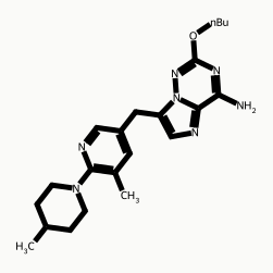 CCCCOc1nc(N)c2ncc(Cc3cnc(N4CCC(C)CC4)c(C)c3)n2n1